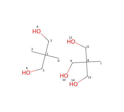 CC(C)(CO)CO.CC(CO)(CO)CO